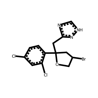 Clc1ccc(C2(Cc3nc[nH]n3)CC(Br)CO2)c(Cl)c1